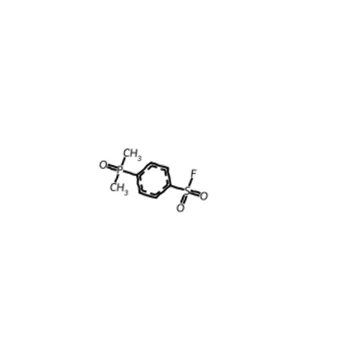 CP(C)(=O)c1ccc(S(=O)(=O)F)cc1